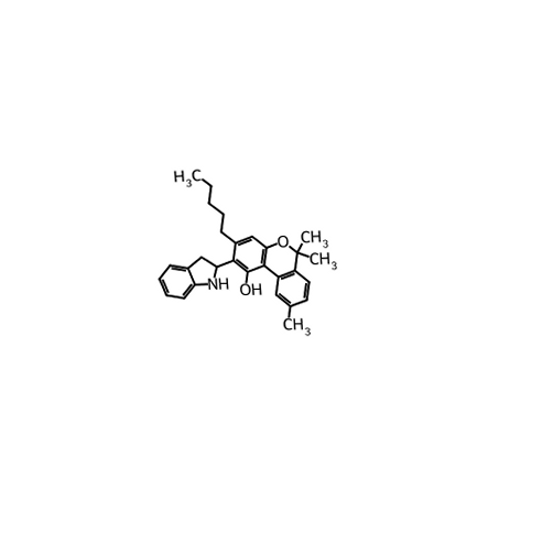 CCCCCc1cc2c(c(O)c1C1Cc3ccccc3N1)-c1cc(C)ccc1C(C)(C)O2